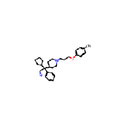 N#Cc1ccc(OCCCN2CCC(C(CN)(c3ccccc3)C3CCCC3)CC2)cc1